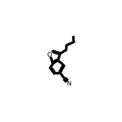 CCCCc1coc2ccc(C#N)cc12